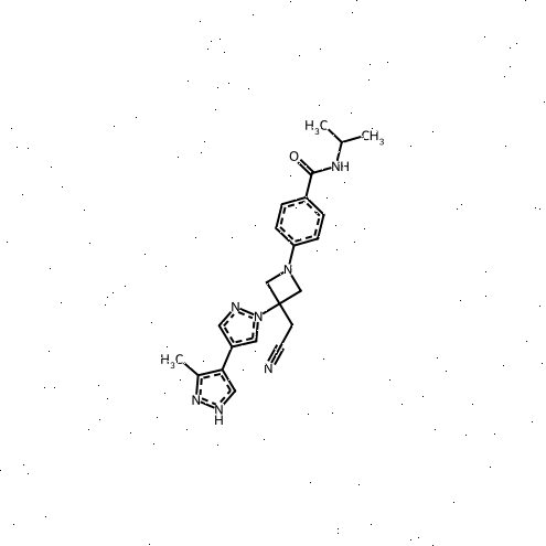 Cc1n[nH]cc1-c1cnn(C2(CC#N)CN(c3ccc(C(=O)NC(C)C)cc3)C2)c1